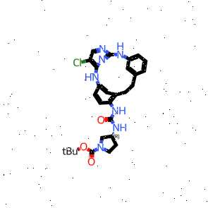 CC(C)(C)OC(=O)N1CC[C@@H](NC(=O)Nc2ccc3cc2CCc2cccc(c2)Nc2ncc(Cl)c(n2)N3)C1